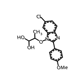 COc1ccc(-c2nc3ccc(Cl)cc3n2OC(C)C(O)O)cc1